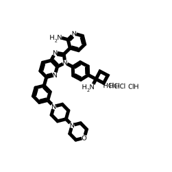 Cl.Cl.Cl.Cl.Nc1ncccc1-c1nc2ccc(-c3cccc(N4CCC(N5CCOCC5)CC4)c3)nc2n1-c1ccc(C2(N)CCC2)cc1